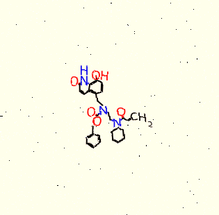 C=CC(=O)N(CCN(CCc1ccc(O)c2[nH]c(=O)ccc12)C(=O)OCc1ccccc1)C1CCCCC1